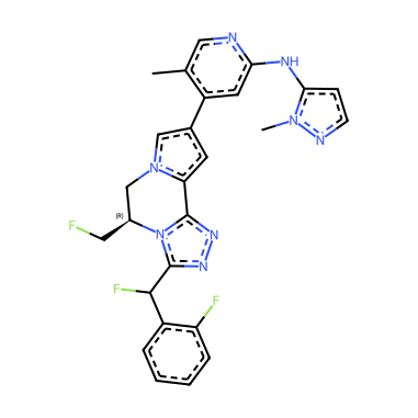 Cc1cnc(Nc2ccnn2C)cc1-c1cc2n(c1)C[C@H](CF)n1c-2nnc1C(F)c1ccccc1F